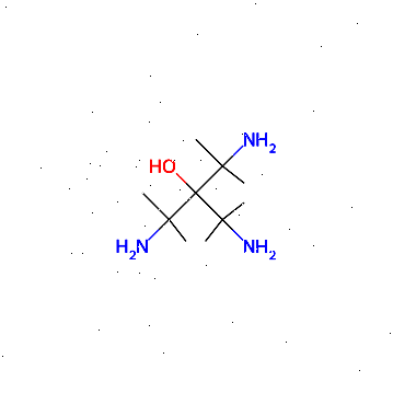 CC(C)(N)C(O)(C(C)(C)N)C(C)(C)N